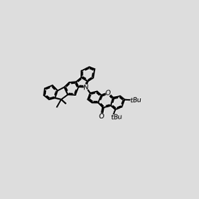 CC(C)(C)c1cc(C(C)(C)C)c2c(=O)c3ccc(-n4c5ccccc5c5cc6c(cc54)C(C)(C)c4ccccc4-6)cc3oc2c1